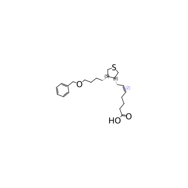 O=C(O)CCC/C=C\C[C@H]1CSC[C@H]1CCCCOCc1ccccc1